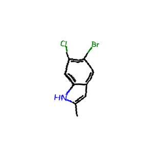 Cc1cc2cc(Br)c(Cl)cc2[nH]1